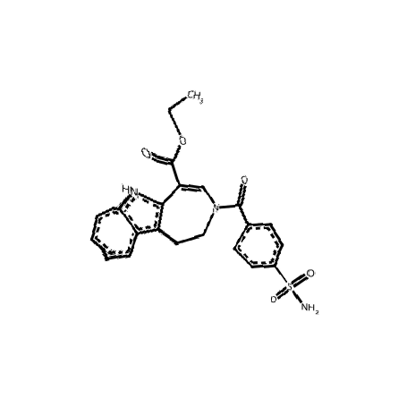 CCOC(=O)C1=CN(C(=O)c2ccc(S(N)(=O)=O)cc2)CCc2c1[nH]c1ccccc21